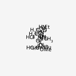 CCNC(=O)Oc1nn2/c(=N/C)n(CC(=O)c3cc(OCCO)c(OC)c(C(C)(C)C)c3)nc2c(C)c1C.Cl